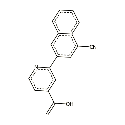 C=C(O)c1ccnc(-c2cc(C#N)c3ccccc3c2)c1